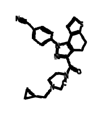 N#Cc1ccc(-n2nc(C(=O)N3CCN(CC4CC4)CC3)c3c2-c2ccsc2CC3)cc1